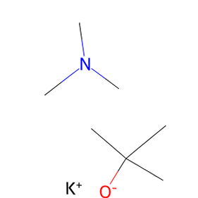 CC(C)(C)[O-].CN(C)C.[K+]